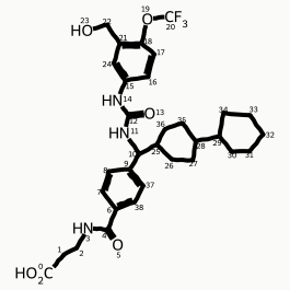 O=C(O)CCNC(=O)c1ccc(C(NC(=O)Nc2ccc(OC(F)(F)F)c(CO)c2)C2CCC(C3CCCCC3)CC2)cc1